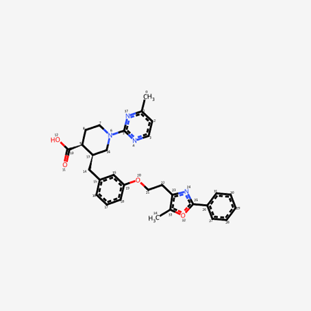 Cc1ccnc(N2CC[C@H](C(=O)O)[C@H](Cc3cccc(OCCc4nc(-c5ccccc5)oc4C)c3)C2)n1